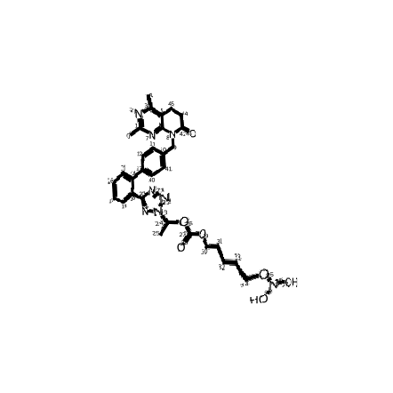 Cc1nc(C)c2c(n1)N(Cc1ccc(-c3ccccc3-c3nnn(C(C)OC(=O)OCCCCCON(O)O)n3)cc1)C(=O)CC2